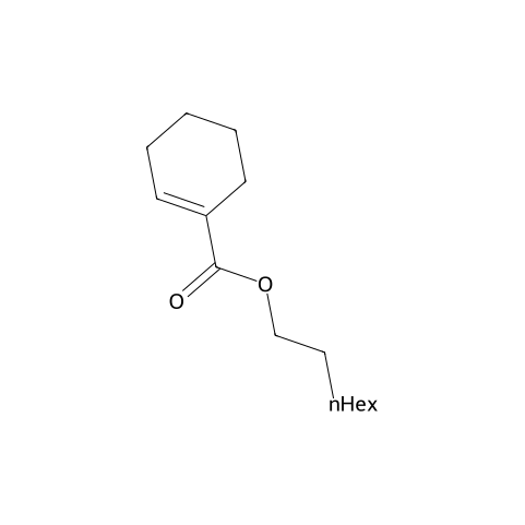 CCCCCCCCOC(=O)C1=CCCCC1